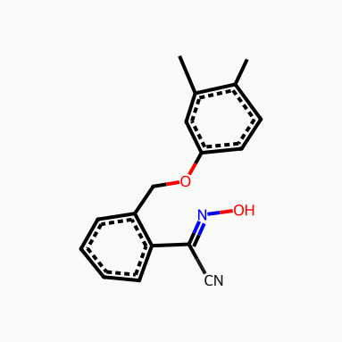 Cc1ccc(OCc2ccccc2C(C#N)=NO)cc1C